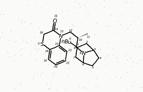 CCCCC1CC2CCC(C1)N2C[C@@H](C)CN1C(=O)CSc2ccccc21